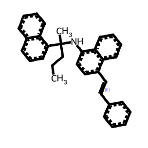 CCCC(C)(Nc1ccc(/C=C/c2ccccc2)c2ccccc12)c1cccc2ccccc12